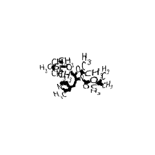 Cc1cc(CC2C(CO[Si](C)(C)C(C)(C)C)OC(C)(C)N2C(=O)OC(C)(C)C)ccn1